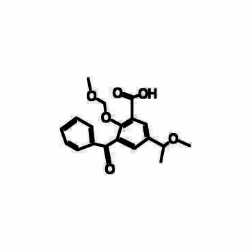 COCOc1c(C(=O)O)cc(C(C)OC)cc1C(=O)c1ccccc1